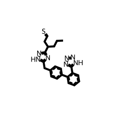 CCCC(CC=S)c1n[nH]c(Cc2ccc(-c3ccccc3-c3nnn[nH]3)cc2)n1